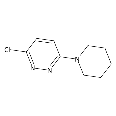 Clc1ccc(N2CCCCC2)nn1